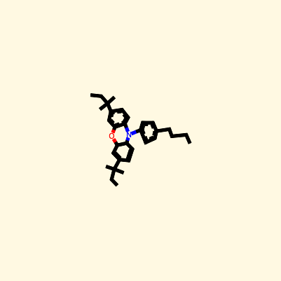 CCCCc1ccc(N2c3ccc(C(C)(C)CC)cc3OC3C=C(C(C)(C)CC)C=CC32)cc1